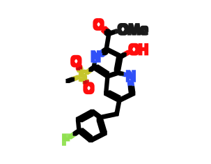 COC(=O)c1nc(S(C)(=O)=O)c2cc(Cc3ccc(F)cc3)cnc2c1O